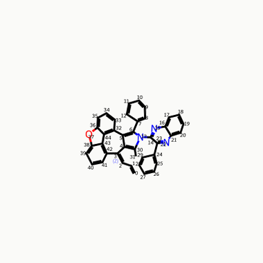 C=C/C=C1\c2c(c(-c3ccccc3)n(-c3nc4ccccc4nc3-c3ccccc3)c2C)-c2cccc3oc4cccc1c4c23